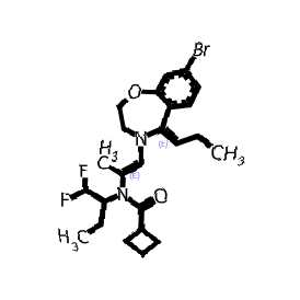 CC/C=C1\c2ccc(Br)cc2OCCN1/C=C(\C)N(C(=O)C1CCC1)C(CC)C(F)F